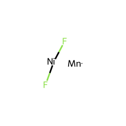 [F][Ni][F].[Mn]